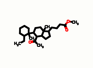 CCC1CCCCC1(C)C1CCC2(C)C(CCCC(=O)OC)CCC2C1C(C)=O